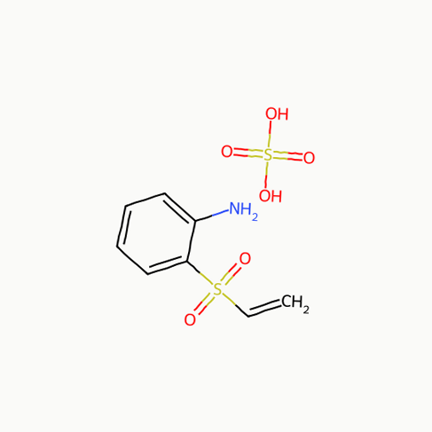 C=CS(=O)(=O)c1ccccc1N.O=S(=O)(O)O